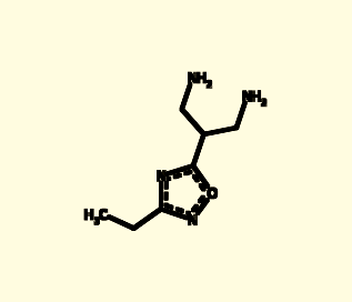 CCc1noc(C(CN)CN)n1